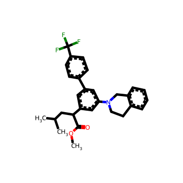 COC(=O)C(CC(C)C)c1cc(-c2ccc(C(F)(F)F)cc2)cc(N2CCc3ccccc3C2)c1